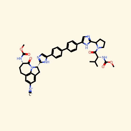 [C-]#[N+]c1cc2c3c(c1)C[C@@H](c1ncc(-c4ccc(-c5ccc(-c6cnc(C7CCCN7C(=O)[C@H](NC(=O)OC)C(C)C)[nH]6)cc5)cc4)[nH]1)N3C(=O)[C@@H](NC(=O)OC)CC2